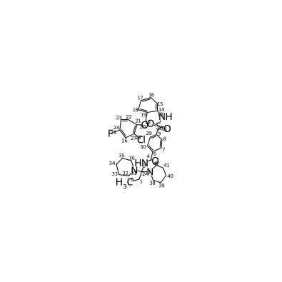 CCC(NC(=O)c1ccc(S(=O)(=O)Nc2ccccc2Oc2ccc(F)cc2Cl)cc1)(N1CCCCC1)N1CCCCC1